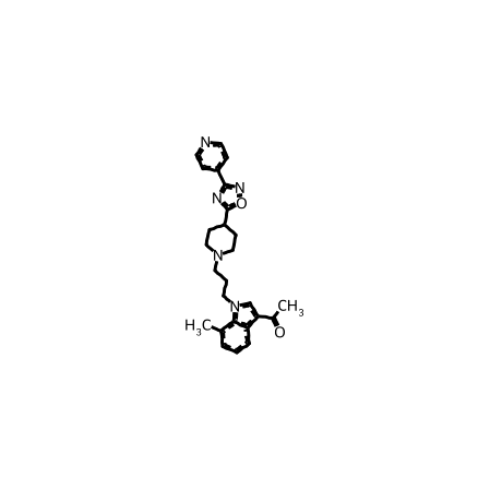 CC(=O)c1cn(CCCN2CCC(c3nc(-c4ccncc4)no3)CC2)c2c(C)cccc12